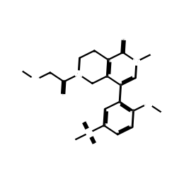 COCC(=O)N1CCc2c(c(-c3cc(S(C)(=O)=O)ccc3OC)cn(C)c2=O)C1